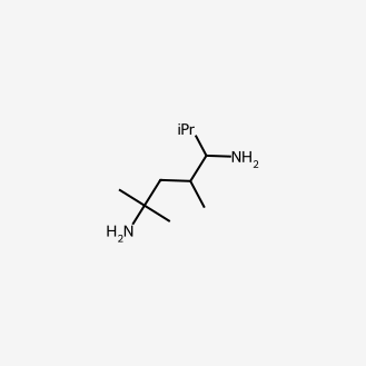 CC(C)C(N)C(C)CC(C)(C)N